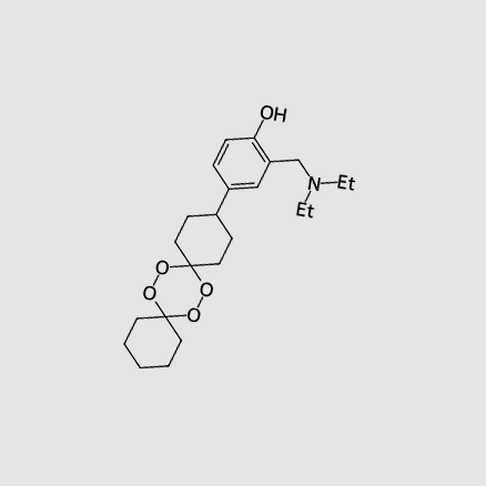 CCN(CC)Cc1cc(C2CCC3(CC2)OOC2(CCCCC2)OO3)ccc1O